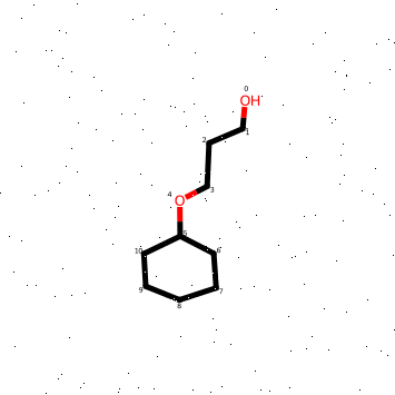 O[CH]CCOC1CCCCC1